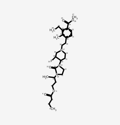 CCCC(=O)OCCC(C)N1CCN(C2CCN(CCc3ccc(C(=O)OC)c(CC)c3C)CC2F)C1=O